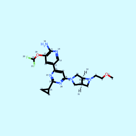 COCCN1C[C@H]2CN(c3cc(-c4cnc(N)c(OC(F)F)c4)nc(C4CC4)n3)C[C@H]21